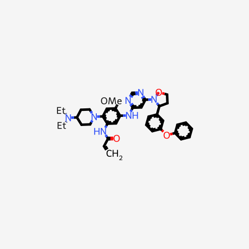 C=CC(=O)Nc1cc(Nc2cc(N3OCCC3c3cccc(Oc4ccccc4)c3)ncn2)c(OC)cc1N1CCC(N(CC)CC)CC1